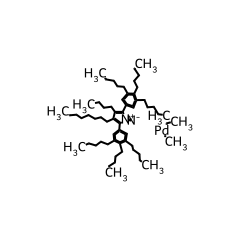 CCCCCCCCC1=C(c2cc(CCCCC)c(CCCCC)c(CCCCC)c2)[N+](=[N-])C(c2cc(CCCCC)c(CCCCC)c(CCCCC)c2)=C1CCCC.C[CH2][Pd][CH2]C